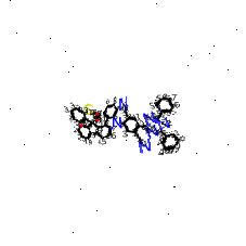 N#Cc1cc(-n2c3ccccc3c3c4c(ccc32)-c2ccccc2C42c3ccccc3Sc3ccccc32)c(C#N)cc1-c1nc(-c2ccccc2)nc(-c2ccccc2)n1